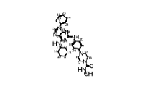 O=C(NO)N1CCN(c2ccc(Nc3nc(NC4CCCCC4)c4ncn(C5CCCCO5)c4n3)cc2)CC1